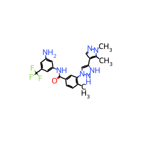 Cc1ccc(C(=O)Nc2cc(N)cc(C(F)(F)F)c2)cc1N1C=C(c2cnn(C)c2C)NN1